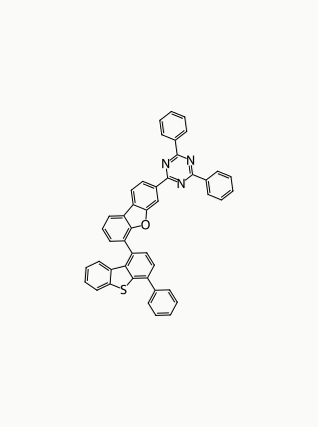 c1ccc(-c2nc(-c3ccccc3)nc(-c3ccc4c(c3)oc3c(-c5ccc(-c6ccccc6)c6sc7ccccc7c56)cccc34)n2)cc1